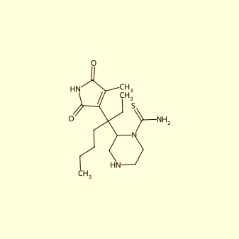 CCCCC(CC)(C1=C(C)C(=O)NC1=O)C1CNCCN1C(N)=S